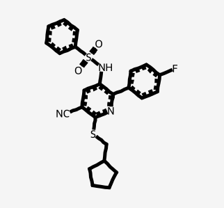 N#Cc1cc(NS(=O)(=O)c2ccccc2)c(-c2ccc(F)cc2)nc1SCC1CCCC1